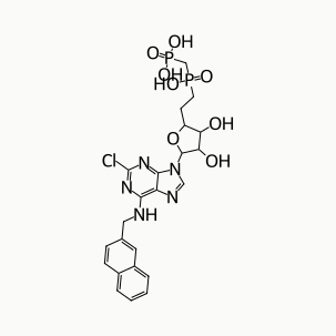 O=P(O)(O)CP(=O)(O)CCC1OC(n2cnc3c(NCc4ccc5ccccc5c4)nc(Cl)nc32)C(O)C1O